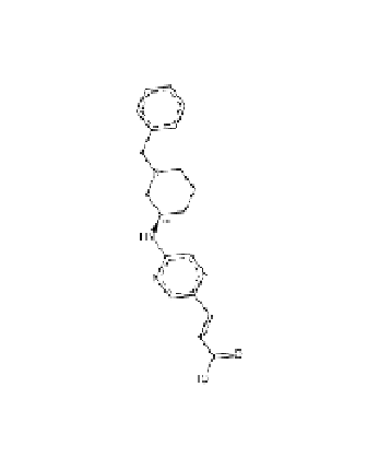 O=C(O)C=Cc1cnc(N[C@@H]2CCCN(Cc3ccccc3)C2)cn1